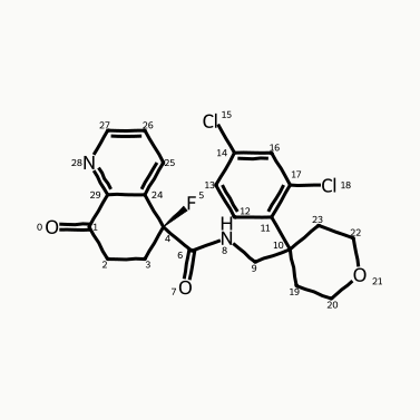 O=C1CC[C@@](F)(C(=O)NCC2(c3ccc(Cl)cc3Cl)CCOCC2)c2cccnc21